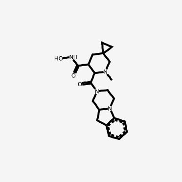 CN1CC2(CC2)CC(C(=O)NO)C1C(=O)N1CCN2c3ccccc3CC2C1